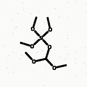 COC(OC)O[Si](OC)(OC)OC